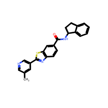 Cc1cncc(-c2nc3ccc(C(=O)NC4CCc5ccccc54)cc3s2)c1